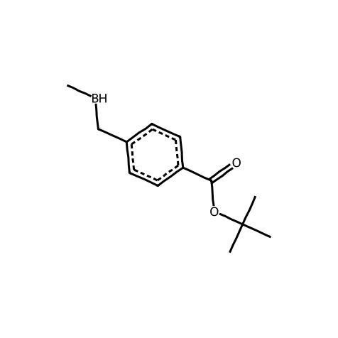 CBCc1ccc(C(=O)OC(C)(C)C)cc1